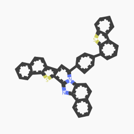 c1ccc2c(c1)ccc1c2nc2c3sc4c5ccccc5ccc4c3cc(-c3ccc(-c4cccc5c4sc4ccccc45)cc3)n12